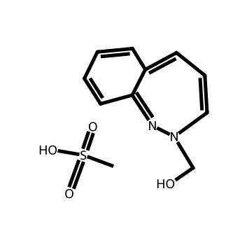 CS(=O)(=O)O.OCN1C=CC=c2ccccc2=N1